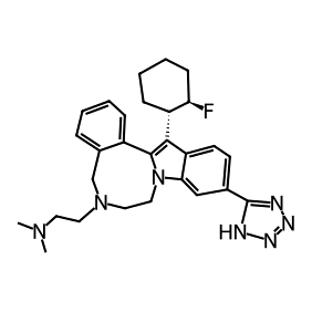 CN(C)CCN1CCn2c(c([C@@H]3CCCC[C@H]3F)c3ccc(-c4nnn[nH]4)cc32)-c2ccccc2C1